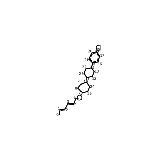 C/C=C/C=C/CO[C@H]1CC[C@H](C2CCC(c3ccc(Cl)cc3)CC2)CC1